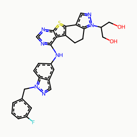 OCC(CO)n1ncc2c1CCc1c-2sc2ncnc(Nc3ccc4c(cnn4Cc4cccc(F)c4)c3)c12